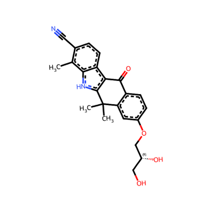 Cc1c(C#N)ccc2c3c([nH]c12)C(C)(C)c1cc(OC[C@H](O)CO)ccc1C3=O